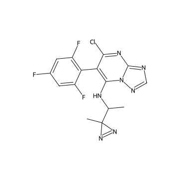 CC(Nc1c(-c2c(F)cc(F)cc2F)c(Cl)nc2ncnn12)C1(C)N=N1